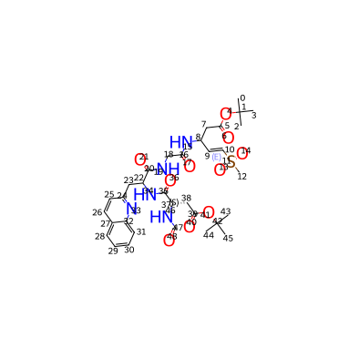 CC(C)(C)OC(=O)CC(/C=C/S(C)(=O)=O)NC(=O)CNC(=O)C(Cc1ccc2ccccc2n1)NC(=O)[C@H](CC(=O)OC(C)(C)C)NC=O